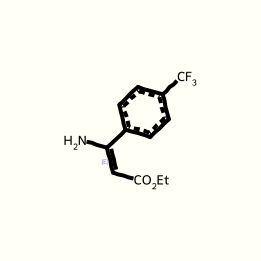 CCOC(=O)/C=C(/N)c1ccc(C(F)(F)F)cc1